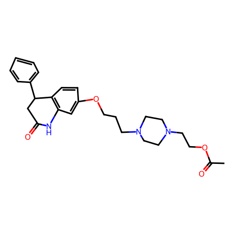 CC(=O)OCCN1CCN(CCCOc2ccc3c(c2)NC(=O)CC3c2ccccc2)CC1